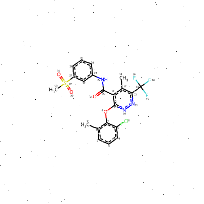 Cc1cccc(Cl)c1Oc1nnc(C(F)(F)F)c(C)c1C(=O)Nc1cccc(S(C)(=O)=O)c1